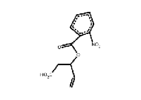 C=CC(CC(=O)O)OC(=O)c1ccccc1[N+](=O)[O-]